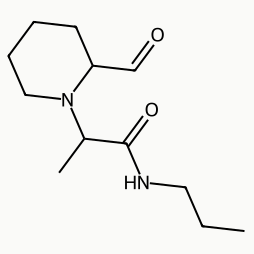 CCCNC(=O)C(C)N1CCCCC1C=O